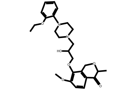 CCOc1ccccc1N1CCN(CC(O)COc2c(OC)ccc3c2COC(C)C3=O)CC1